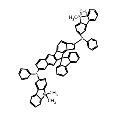 C[Si]1(C)c2ccccc2-c2cc(N(c3ccccc3)c3ccc4cc5c(cc4c3)C3(c4ccccc4-c4ccccc43)c3c-5ccc4cc(N(c5ccccc5)c5ccc6c(c5)-c5ccccc5[Si]6(C)C)ccc34)ccc21